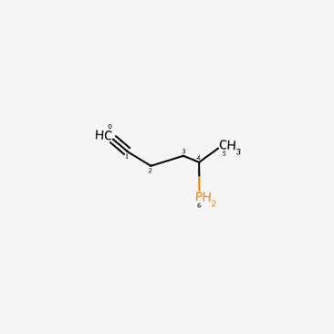 C#CCCC(C)P